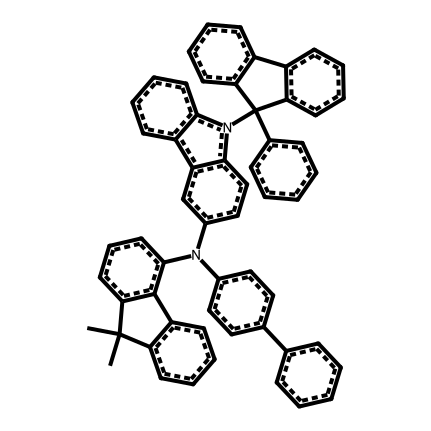 CC1(C)c2ccccc2-c2c(N(c3ccc(-c4ccccc4)cc3)c3ccc4c(c3)c3ccccc3n4C3(c4ccccc4)c4ccccc4-c4ccccc43)cccc21